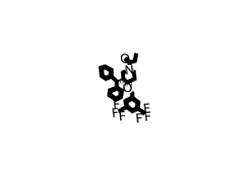 CCC(=O)N1CC[C@@H](OCc2cc(C(F)(F)F)cc(C(F)(F)F)c2)[C@@H](C(c2ccccc2)c2ccccc2)C1